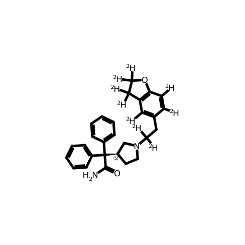 [2H]c1c([2H])c2c(c([2H])c1CC([2H])([2H])N1CC[C@@H](C(C(N)=O)(c3ccccc3)c3ccccc3)C1)C([2H])([2H])C([2H])([2H])O2